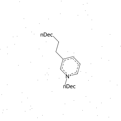 CCCCCCCCCCCCc1ccc[n+](CCCCCCCCCC)c1